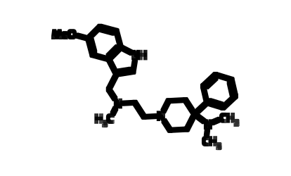 COc1ccc2[nH]cc(CN(C)CCN3CCC(c4ccccc4)(N(C)C)CC3)c2c1